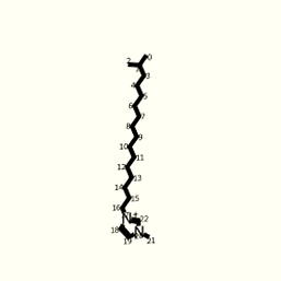 CC(C)CCCCCCCCCCCCCC[n+]1ccn(C)c1